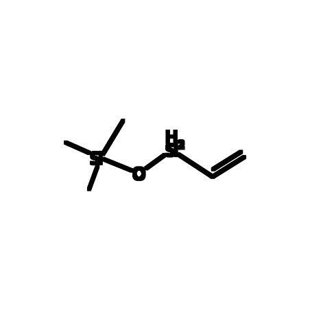 C=C[SiH2]O[Si](C)(C)C